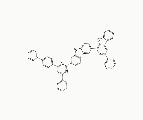 c1ccc(-c2ccc(-c3nc(-c4ccccc4)nc(-c4ccc5c(c4)sc4ccc(-c6cc(-c7ccccc7)cc7c6sc6ccccc67)cc45)n3)cc2)cc1